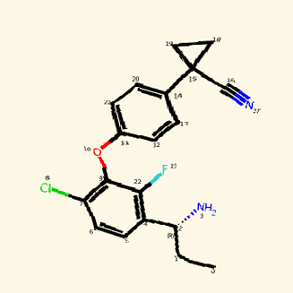 CC[C@@H](N)c1ccc(Cl)c(Oc2ccc(C3(C#N)CC3)cc2)c1F